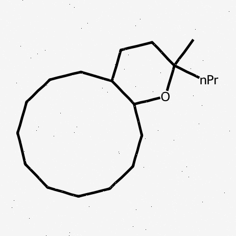 CCCC1(C)CCC2CCCCCCCCCCC2O1